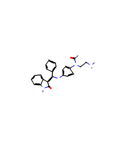 CCOC(=O)N1C(=O)/C(=C(\Nc2ccc(N(CCN(C)C)C(=O)CC)cc2)c2ccccc2)c2ccccc21